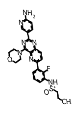 CCC[S+]([O-])Nc1cccc(-c2ccc3nc(-c4ccc(N)nc4)nc(N4CCOCC4)c3n2)c1F